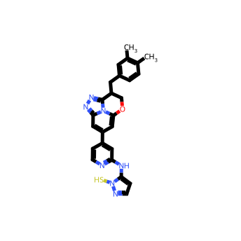 Cc1ccc(CC2COc3cc(-c4ccnc(Nc5ccnn5S)c4)cc4nnc2n34)cc1C